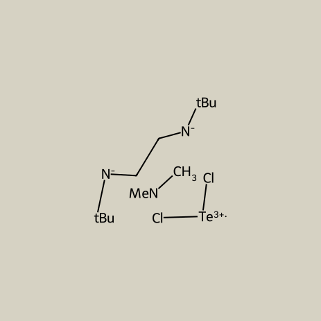 CC(C)(C)[N-]CC[N-]C(C)(C)C.C[N-]C.Cl[Te+3]Cl